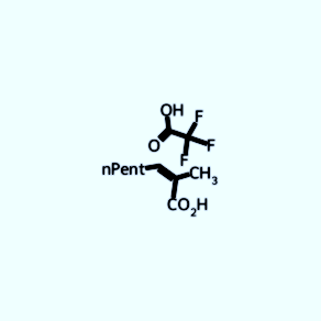 CCCCC/C=C(/C)C(=O)O.O=C(O)C(F)(F)F